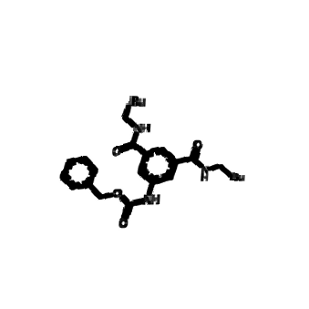 CCC(C)CNC(=O)c1cc(NC(=O)OCc2ccccc2)cc(C(=O)NCC(C)CC)c1